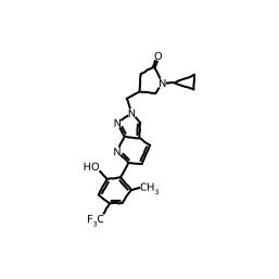 Cc1cc(C(F)(F)F)cc(O)c1-c1ccc2cn(CC3CC(=O)N(C4CC4)C3)nc2n1